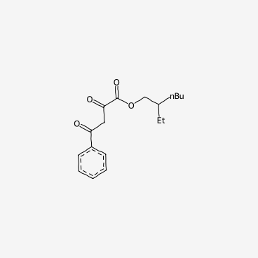 CCCCC(CC)COC(=O)C(=O)CC(=O)c1ccccc1